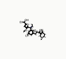 C=Nc1cc(C(O)CC)sc1/C(=C\C)c1cc(Cl)cc2c1OC(c1onc3c1CN(C)CC3)C2